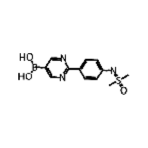 CS(C)(=O)=Nc1ccc(-c2ncc(B(O)O)cn2)cc1